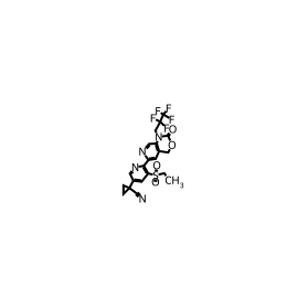 CCS(=O)(=O)c1cc(C2(C#N)CC2)cnc1-c1cc2c(cn1)N(CC(F)(F)C(F)(F)F)C(=O)OC2